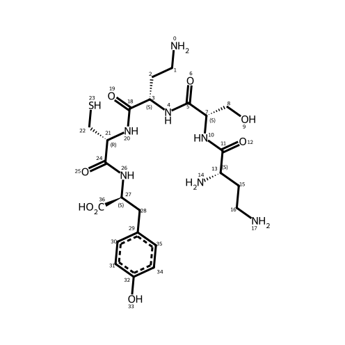 NCC[C@H](NC(=O)[C@H](CO)NC(=O)[C@@H](N)CCN)C(=O)N[C@@H](CS)C(=O)N[C@@H](Cc1ccc(O)cc1)C(=O)O